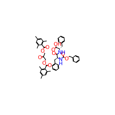 Cc1cc(C)c(C(=O)OCC(=O)COC(=O)c2c(C)cc(C)cc2C)c(C)c1.O=C(N[C@@H](Cc1ccccc1)C(=O)N[C@@H](Cc1ccccc1)C(=O)O)OCc1ccccc1